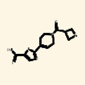 O=C(O)c1cnc(C2=CCN(C(=O)C3COC3)CC2)s1